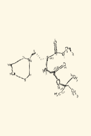 COC(=O)[C@@H](CN1CCOCC1)NC(=O)OC(C)(C)C